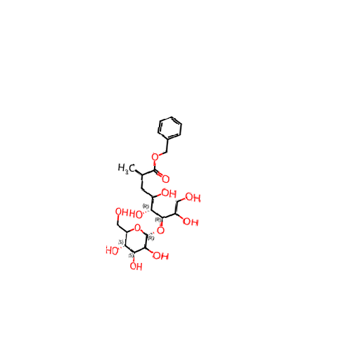 CC(CC(O)[C@@H](O)[C@H](O[C@H]1OC(CO)[C@@H](O)[C@H](O)C1O)C(O)CO)C(=O)OCc1ccccc1